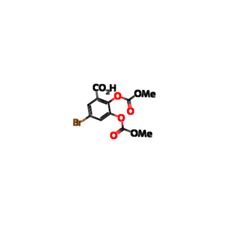 COC(=O)Oc1cc(Br)cc(C(=O)O)c1OC(=O)OC